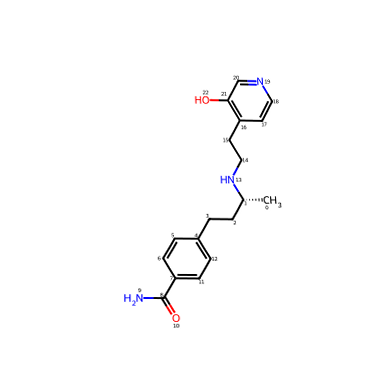 C[C@H](CCc1ccc(C(N)=O)cc1)NCCc1ccncc1O